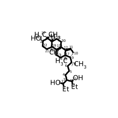 CCC(O)C(CCC[C@@H](C)[C@H]1CC=C2C3=C(CC[C@@]21C)[C@@]1(C)CC[C@H](O)C(C)(C)[C@@H]1CC3)C(O)CC